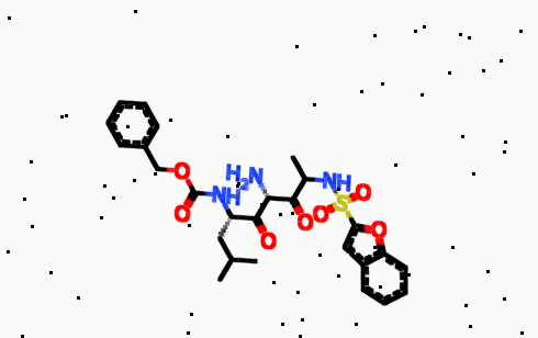 CC(C)C[C@H](NC(=O)OCc1ccccc1)C(=O)[C@H](N)C(=O)C(C)NS(=O)(=O)c1cc2ccccc2o1